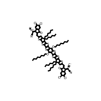 [C-]#[N+]/C(C#N)=C1\C(=C\c2cc3c(s2)-c2sc4c(sc5c4sc4c(OCCCCCCCC)c6c(sc7c8sc9c(c8sc76)C(CCCCCC)(CCCCCC)c6cc(/C=C7\C(=O)c8cc(Cl)c(Cl)cc8\C7=C(\C#N)[N+]#[C-])sc6-9)c(OCCCCCCCC)c45)c2C3(CCCCCC)CCCCCC)C(=O)c2cc(Cl)c(Cl)cc21